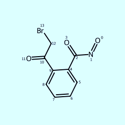 O=NC(=O)c1ccccc1C(=O)CBr